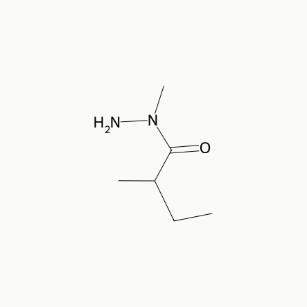 CCC(C)C(=O)N(C)N